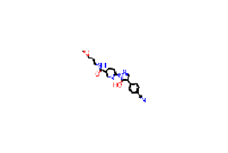 COCCCNC(=O)c1ccc(-n2ncc(-c3ccc(C#N)cc3)c2O)nc1